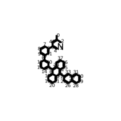 Cc1cncc(-c2cccc(-c3cccc(-c4c5ccccc5c(-c5ccc6ccccc6c5)c5ccccc45)c3)c2)c1